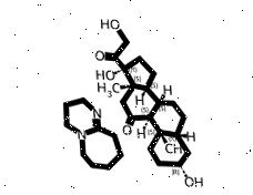 C1CCC2=NCCCN2CC1.C[C@]12CC[C@@H](O)C[C@H]1CC[C@@H]1[C@@H]2C(=O)C[C@@]2(C)[C@H]1CC[C@]2(O)C(=O)CO